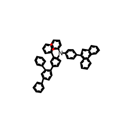 c1ccc(-c2ccc(-c3ccc(N(c4ccccc4)c4ccc(-c5cc6ccccc6c6ccccc56)cc4)c(-c4ccccc4)c3)c(-c3ccccc3)c2)cc1